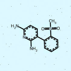 CS(=O)(=O)c1ccccc1-c1ccc(N)nc1N